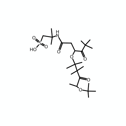 CC(OC(C)(C)C)C(=O)C(C)(C)C(C)(C)OC(CC(=O)NC(C)(C)CS(=O)(=O)O)C(=O)C(C)(C)C